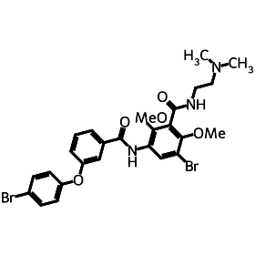 COc1c(Br)cc(NC(=O)c2cccc(Oc3ccc(Br)cc3)c2)c(OC)c1C(=O)NCCN(C)C